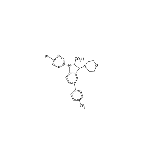 CC(C)c1ccc(N2c3ccc(-c4ccc(C(F)(F)F)cc4)cc3C(N3CCOCC3)C2C(=O)O)cc1